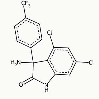 NC1(c2ccc(C(F)(F)F)cc2)C(=O)Nc2cc(Cl)cc(Cl)c21